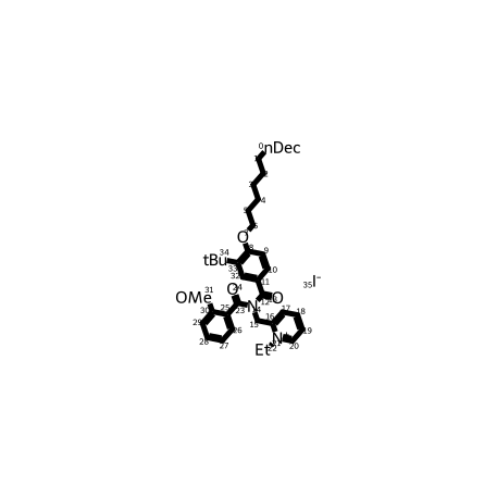 CCCCCCCCCCCCCCCCOc1ccc(C(=O)N(Cc2cccc[n+]2CC)C(=O)c2ccccc2OC)cc1C(C)(C)C.[I-]